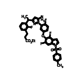 CCOC(=O)CCc1cccc(C(C)c2cc(N)n(-c3cc(Oc4c(F)cc5c(ccn5S(=O)(=O)c5ccc(C)cc5)c4F)ccc3F)n2)c1F